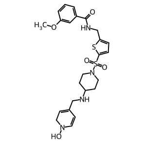 COc1cccc(C(=O)NCc2ccc(S(=O)(=O)N3CCC(NCC4=CCN(O)C=C4)CC3)s2)c1